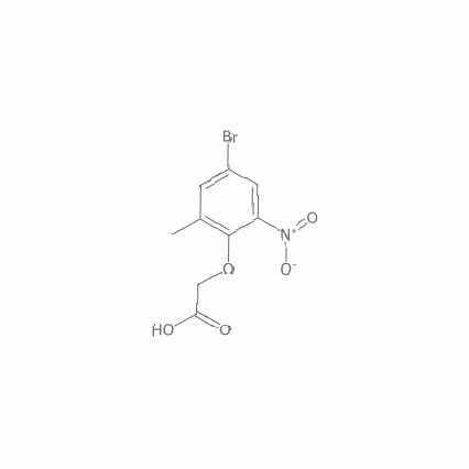 Cc1cc(Br)cc([N+](=O)[O-])c1OCC(=O)O